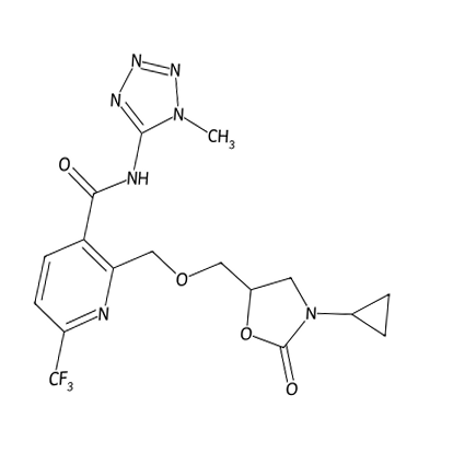 Cn1nnnc1NC(=O)c1ccc(C(F)(F)F)nc1COCC1CN(C2CC2)C(=O)O1